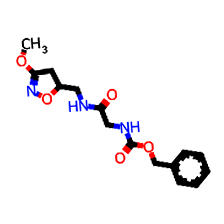 COC1=NOC(CNC(=O)CNC(=O)OCc2ccccc2)C1